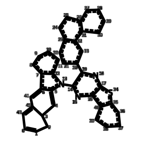 C1=CCC2C=c3c(c4ccccc4n3-c3nc4c(nc3-c3ccc5ccc6ccccc6c5c3)sc3ccccc34)=CC2=C1